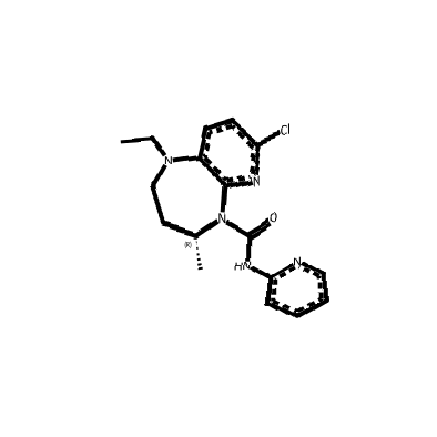 CCN1CC[C@@H](C)N(C(=O)Nc2ccccn2)c2nc(Cl)ccc21